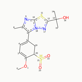 COC1=CC=C(c2c(C)nc3sc(C(C)(C)O)nn23)CC1[SH](=O)=O